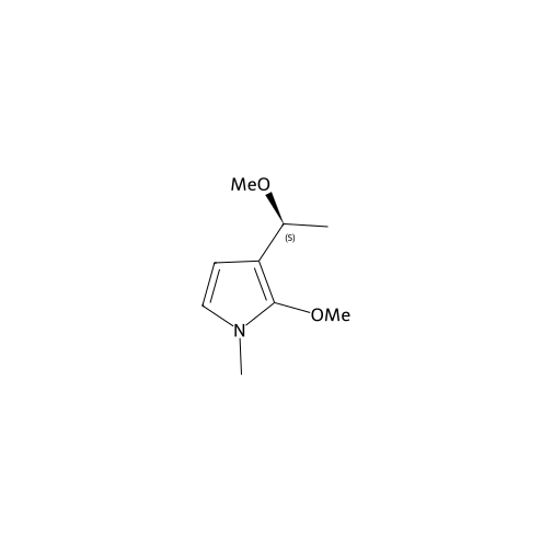 COc1c([C@H](C)OC)ccn1C